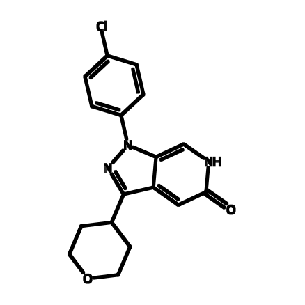 O=c1cc2c(C3CCOCC3)nn(-c3ccc(Cl)cc3)c2c[nH]1